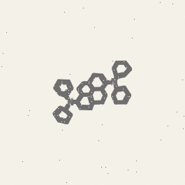 C1=CCCC(N(C2=CCCCC2)C2=CCC3CCC4C5=C(C=CC4N(c4ccccc4)C4C=CC=CC4)CCC2C53)=C1